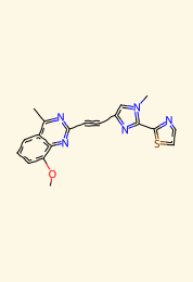 COc1cccc2c(C)nc(C#Cc3cn(C)c(-c4nccs4)n3)nc12